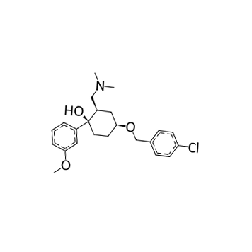 COc1cccc([C@@]2(O)CC[C@H](OCc3ccc(Cl)cc3)C[C@@H]2CN(C)C)c1